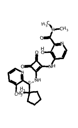 Cc1cccnc1[C@H](Nc1c(Nc2ccnc(C(=O)N(C)C)c2O)c(=O)c1=O)C1(C)CCCC1